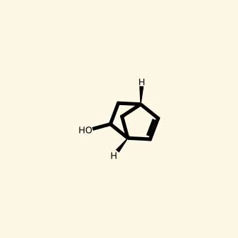 OC1C[C@@H]2C=C[C@H]1C2